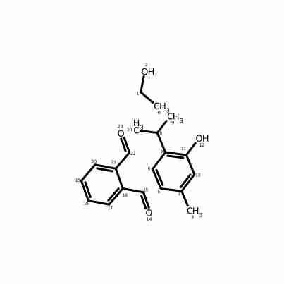 CCO.Cc1ccc(C(C)C)c(O)c1.O=Cc1ccccc1C=O